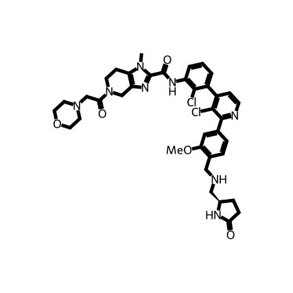 COc1cc(-c2nccc(-c3cccc(NC(=O)c4nc5c(n4C)CCN(C(=O)CN4CCOCC4)C5)c3Cl)c2Cl)ccc1CNC[C@H]1CCC(=O)N1